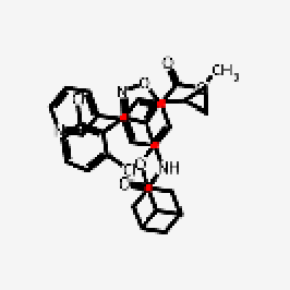 COC(=O)c1cc(NC(=O)C2C3CC(OCc4c(-c5c(Cl)cccc5Cl)noc4C4CC4)CC2C3)cc(-c2cccnc2)c1